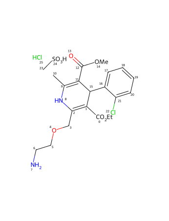 CCOC(=O)C1=C(COCCN)NC(C)=C(C(=O)OC)C1c1ccccc1Cl.CS(=O)(=O)O.Cl